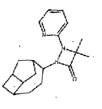 CC1(C)C(=O)N(C2CCC3CC4CC2CC34)N1c1ccccn1